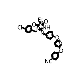 CCn1c(=O)[nH]/c(=N\c2ccc(Oc3ccc(Oc4ccc(C#N)cc4)cn3)cc2)n(Cc2ccc(Cl)cc2)c1=O